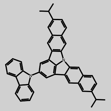 CC(C)c1ccc2cc3c(cc2c1)c1cc(-n2c4ccccc4c4ccccc42)cc2c4cc5cc(C(C)C)ccc5cc4n3c12